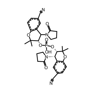 CC1(C)Oc2ccc(C#N)cc2C(N2CCCC2=O)[C@@H]1OP(=O)(O)O[C@H]1[C@@H](N2CCCC2=O)c2cc(C#N)ccc2OC1(C)C